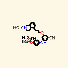 CC(C)(C)[Si](C)(C)Oc1ccc(Nc2cc(C#N)cc(OCCCc3cccc4c3CCN(C(=O)O)C4)c2)cc1